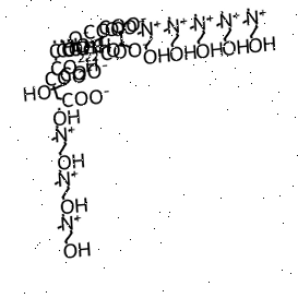 CC(=O)C(=O)[O-].CC(=O)O.CC(=O)O.CC(=O)O.CC(=O)O.CC(=O)[O-].CO.C[N+](C)(C)CCO.C[N+](C)(C)CCO.C[N+](C)(C)CCO.C[N+](C)(C)CCO.C[N+](C)(C)CCO.C[N+](C)(C)CCO.C[N+](C)(C)CCO.C[N+](C)(C)CCO.O=C([O-])CC(O)(CC(=O)[O-])C(=O)[O-].O=C([O-])CC(O)(CC(=O)[O-])C(=O)[O-]